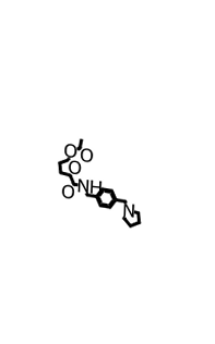 CC(=O)OC1CCC(C(=O)NCc2ccc(CN3CCCC3)cc2)O1